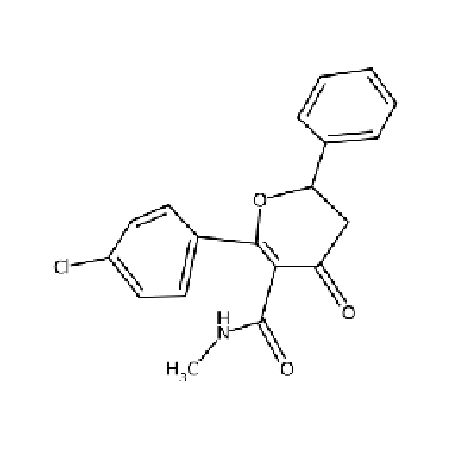 CNC(=O)C1=C(c2ccc(Cl)cc2)OC(c2ccccc2)CC1=O